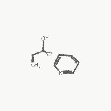 C=CC(O)Cl.c1ccncc1